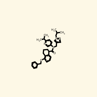 CC(C)Cn1cc(CN(C(=O)C2CCCc3c(OCc4ccccc4)cccc32)c2ccc(C(C)C)nc2)cn1